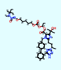 CCCCc1nc(C(C)(C)O)c(C(=O)OC(C)OC(=O)OCCCCCO/N=[N+](\[O-])N(C)C(C)(C)C)n1Cc1ccc(-c2ccccc2-c2nnn[nH]2)cc1